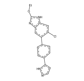 CCOc1nc2cc(-c3ccc(-c4ccn[nH]4)cc3)c(Cl)cc2[nH]1